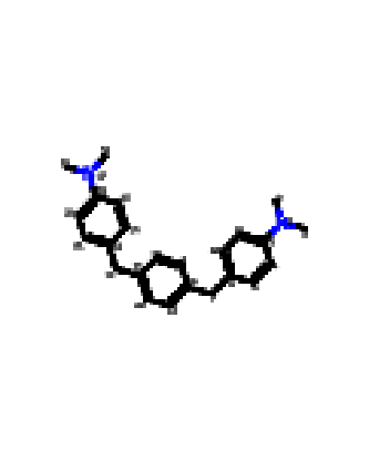 CN(C)c1ccc(Cc2ccc(Cc3ccc(N(C)C)cc3)cc2)cc1